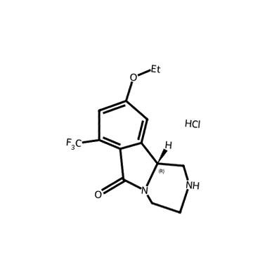 CCOc1cc2c(c(C(F)(F)F)c1)C(=O)N1CCNC[C@@H]21.Cl